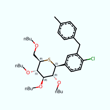 CCCCOC[C@H]1S[C@@H](c2ccc(Cl)c(Cc3ccc(C)cc3)c2)[C@H](OCCCC)[C@@H](OCCCC)[C@@H]1OCCCC